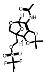 CC(=O)NC1=C2OC(C)(C)O[C@H]2[C@]2(COS(=O)(=O)C(F)(F)F)CO[C@H]1O2